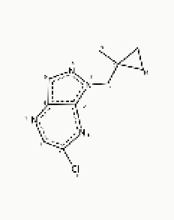 CC1(Cn2ncc3ncc(Cl)nc32)CC1